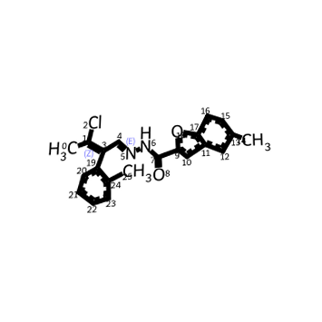 C/C(Cl)=C(/C=N/NC(=O)c1cc2cc(C)ccc2o1)c1ccccc1C